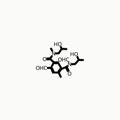 Cc1cc(C=O)c(C(=O)N(C)CC(C)O)cc1C(=O)N(C=O)CC(C)O